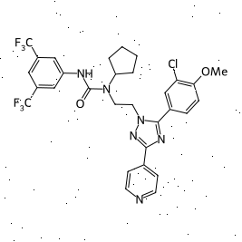 COc1ccc(-c2nc(-c3ccncc3)nn2CCN(C(=O)Nc2cc(C(F)(F)F)cc(C(F)(F)F)c2)C2CCCC2)cc1Cl